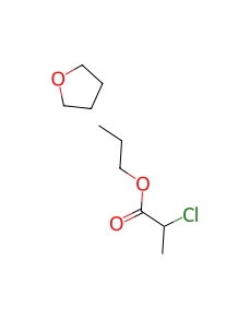 C1CCOC1.CCCOC(=O)C(C)Cl